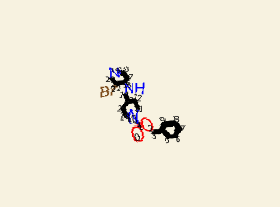 O=C(OCc1ccccc1)N1CCC(CNc2ccncc2Br)CC1